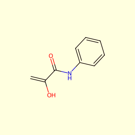 C=C(O)C(=O)Nc1ccccc1